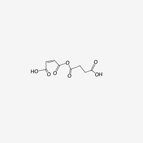 O=C(O)/C=C\C(=O)OC(=O)CCC(=O)O